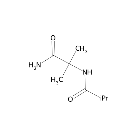 CC(C)C(=O)NC(C)(C)C(N)=O